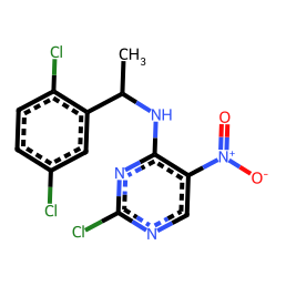 CC(Nc1nc(Cl)ncc1[N+](=O)[O-])c1cc(Cl)ccc1Cl